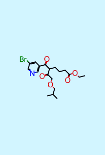 CCOC(=O)CCCC(C(=O)COCC(C)C)C(=O)c1cncc(Br)c1